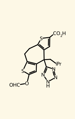 CC(C)CC1(c2nn[nH]n2)c2cc(OC=O)sc2CCc2sc(C(=O)O)cc21